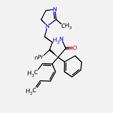 C=C/C=C\C(=C/C)[C@](C(N)=O)(C1=CC=CCC1)C(CCC)CCN1CCN=C1C